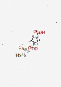 O=C(O)c1ccc(C(=O)OCC(S)CS)cc1